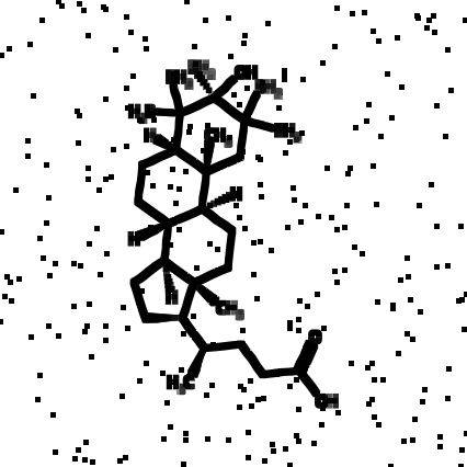 BC1(B)C[C@@]2(C)[C@H](CC[C@@H]3[C@@H]2CC[C@]2(C)[C@@H]([C@H](C)CCC(=O)O)CC[C@@H]32)C(B)(B)[C@@]1(B)O